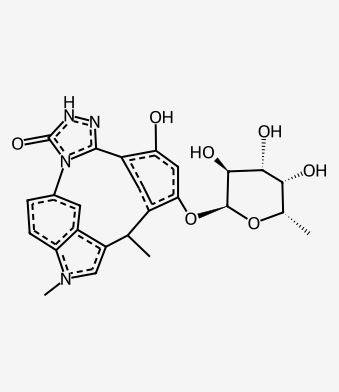 CC1c2cc(c(O)cc2O[C@@H]2O[C@@H](C)[C@@H](O)[C@@H](O)[C@@H]2O)-c2n[nH]c(=O)n2-c2ccc3c(c2)c1cn3C